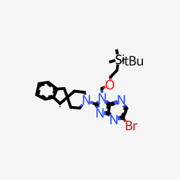 CC(C)(C)[Si](C)(C)CCOCn1c(N2CCC3([CH]c4ccccc4C3)CC2)nc2nc(Br)cnc21